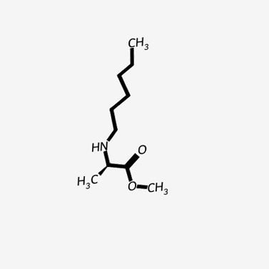 CCCCCCN[C@H](C)C(=O)OC